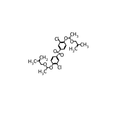 C=C(C)COC(C)Oc1ccc(S(=O)(=O)c2ccc(OC(C)OCC(=C)C)c(Cl)c2)cc1Cl